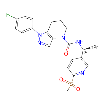 CCC[C@H](NC(=O)N1CCCc2c1cnn2-c1ccc(F)cc1)c1ccc(S(C)(=O)=O)nc1